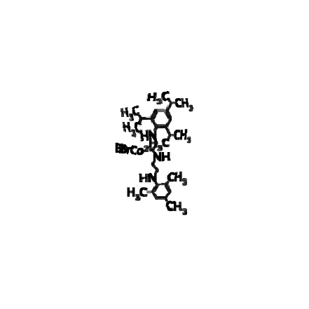 Cc1cc(C)c(NCCNCCNc2c(C(C)C)cc(C(C)C)cc2C(C)C)c(C)c1.[Br-].[Br-].[Co+2]